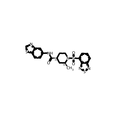 C[C@H]1C[C@@H](C(=O)Nc2ccc3scnc3c2)CCN1S(=O)(=O)c1cccc2nsnc12